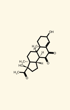 CC(=O)[C@@]1(O)CC[C@H]2[C@@H]3C(=O)C(=O)C4=CC(O)CC[C@]4(C)[C@H]3CC[C@@]21C